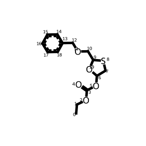 CCOC(=O)OC1CSC(COCc2ccccc2)O1